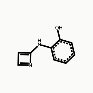 Oc1ccccc1NC1=CC=N1